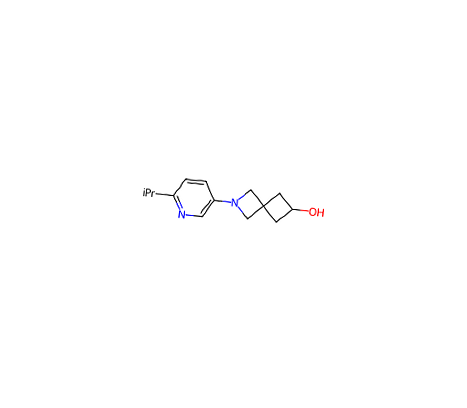 CC(C)c1ccc(N2CC3(CC(O)C3)C2)cn1